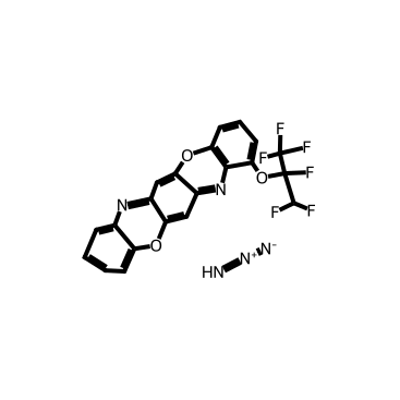 FC(F)C(F)(Oc1cccc2c1N=c1cc3c(cc1O2)=Nc1ccccc1O3)C(F)(F)F.[N-]=[N+]=N